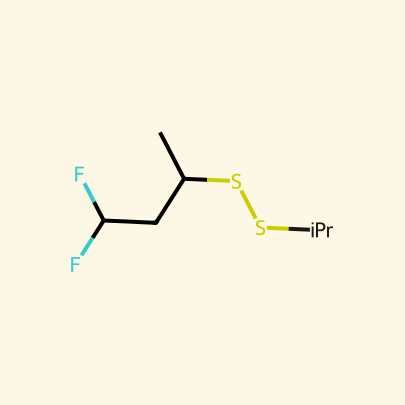 CC(C)SSC(C)CC(F)F